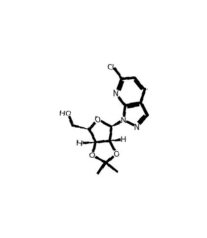 CC1(C)O[C@@H]2[C@H](O1)[C@@H](CO)O[C@H]2n1ncc2[c]cc(Cl)nc21